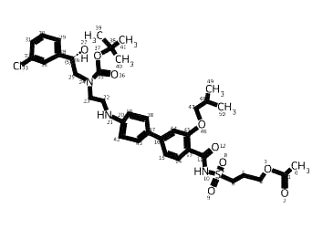 CC(=O)OCCCS(=O)(=O)NC(=O)c1ccc(-c2ccc(NCCN(C[C@@H](O)c3cccc(Cl)c3)C(=O)OC(C)(C)C)cc2)cc1OCC(C)C